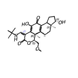 COC[C@H]1OC(=O)/C(=C\NC(C)(C)C)C2=C(O)C(=O)C3=C([C]C[C@@]4(C)C3CC[C@@H]4O)[C@]21C